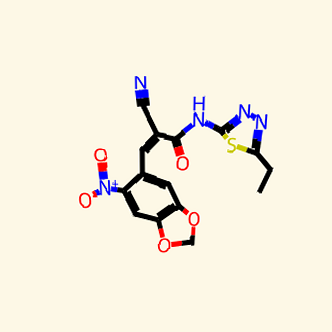 CCc1nnc(NC(=O)C(C#N)=Cc2cc3c(cc2[N+](=O)[O-])OCO3)s1